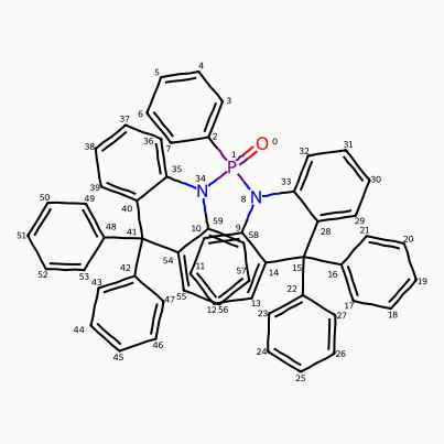 O=P(c1ccccc1)(N1c2ccccc2C(c2ccccc2)(c2ccccc2)c2ccccc21)N1c2ccccc2C(c2ccccc2)(c2ccccc2)c2ccccc21